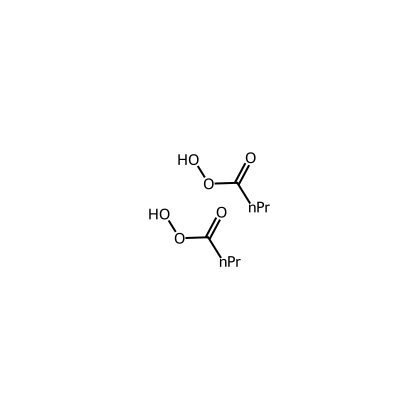 CCCC(=O)OO.CCCC(=O)OO